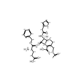 CC(=O)OCC1=C(C(=O)O)N2C(=O)[C@@H](NC(=O)Cc3cccs3)[C@H]2SC1.N[C@@H](CCC(=O)O)C(=O)OCc1ccccc1